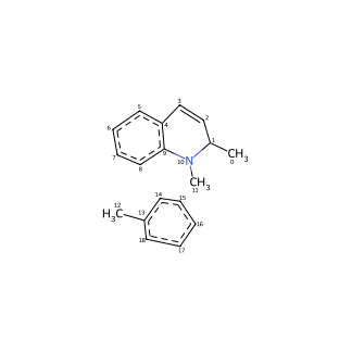 CC1C=Cc2ccccc2N1C.Cc1ccccc1